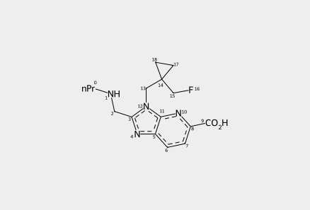 CCCNCc1nc2ccc(C(=O)O)nc2n1CC1(CF)CC1